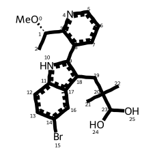 CO[C@@H](C)c1ncccc1-c1[nH]c2ccc(Br)cc2c1CC(C)(C)C(O)O